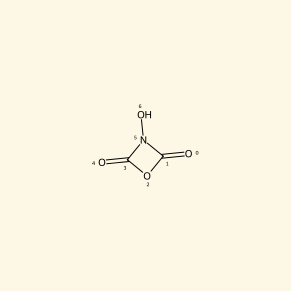 O=C1OC(=O)N1O